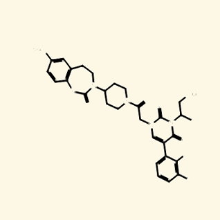 COCC(C)n1c(=O)c(-c2cccc(F)c2Cl)cn(CC(=O)N2CCC(N3CCc4cc(SC)ccc4NC3=O)CC2)c1=O